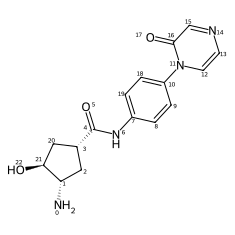 N[C@H]1C[C@@H](C(=O)Nc2ccc(-n3ccncc3=O)cc2)C[C@@H]1O